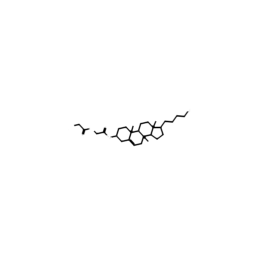 CC(C)CCCCC1CCC2C1(C)CCC1C3(C)CCC(NC(=O)COC(=O)CC(=O)O)CC3=CCC12C